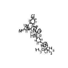 CC(C)(C)c1noc(-c2ccc(NC(=O)N3CC(n4cc(C#N)cn4)C(c4ccc(Cl)cc4)=N3)cc2)n1